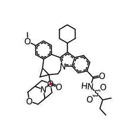 CCC(C)S(=O)(=O)NC(=O)c1ccc2c(C3CCCCC3)c3n(c2c1)CC1(C(=O)N2C4COCC2COC4)CC1c1cc(OC)ccc1-3